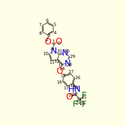 O=C(Oc1ccccc1)n1ccc2c(Oc3ccc(NC(=O)C(F)(F)F)cc3)ncnc21